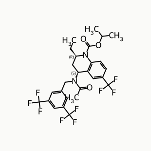 CC[C@@H]1C[C@H](N(Cc2cc(C(F)(F)F)cc(C(F)(F)F)c2)C(C)=O)c2cc(C(F)(F)F)ccc2N1C(=O)OC(C)C